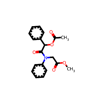 COC(=O)CN(C(=O)C(OC(C)=O)c1ccccc1)c1ccccc1